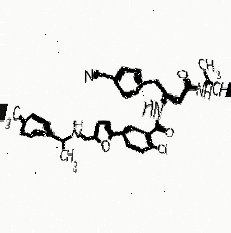 Cc1ccc(C(C)NCc2ccc(-c3ccc(Cl)c(C(=O)NC(CC(=O)NC(C)C)Cc4ccc(C#N)cc4)c3)o2)cc1